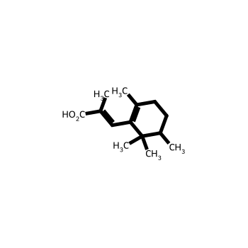 CC(=CC1=C(C)CCC(C)C1(C)C)C(=O)O